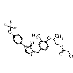 CCC(=O)OCC(C)Oc1ccc(Cn2ncn(-c3ccc(OC(F)(F)F)cc3)c2=O)cc1C